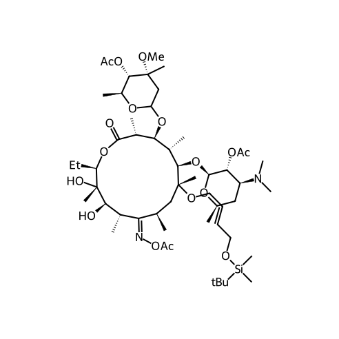 CC[C@H]1OC(=O)[C@H](C)[C@@H](OC2C[C@@](C)(OC)[C@@H](OC(C)=O)[C@H](C)O2)[C@H](C)[C@@H](O[C@@H]2O[C@H](C)C[C@H](N(C)C)[C@H]2OC(C)=O)[C@](C)(OC/C=C/CO[Si](C)(C)C(C)(C)C)C[C@@H](C)/C(=N\OC(C)=O)[C@H](C)[C@@H](O)[C@]1(C)O